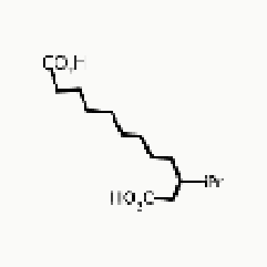 CC(C)C(CCCCCCCCC(=O)O)CC(=O)O